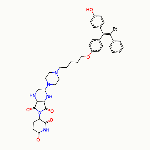 CC/C(=C(\c1ccc(O)cc1)c1ccc(OCCCCCN2CCN(C3CNC4C(=O)N(C5CCC(=O)NC5=O)C(=O)C4N3)CC2)cc1)c1ccccc1